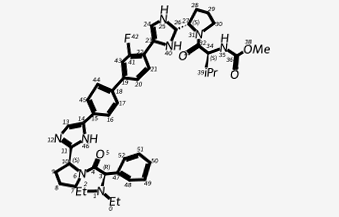 CCN(CC)[C@@H](C(=O)N1CCC[C@H]1c1ncc(-c2ccc(-c3ccc(C4=CNC([C@@H]5CCCN5C(=O)[C@@H](NC(=O)OC)C(C)C)N4)c(F)c3)cc2)[nH]1)c1ccccc1